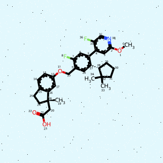 COc1cc(-c2cc(F)c(COc3ccc4c(c3)[C@](C)(CC(=O)O)CC4)cc2[C@@H]2CCCC2(C)C)c(F)cn1